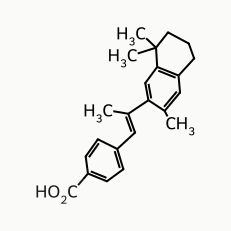 CC(=Cc1ccc(C(=O)O)cc1)c1cc2c(cc1C)CCCC2(C)C